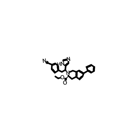 CCOC(=O)[C@@H]1Cc2ccc(-c3ccccc3)cc2CN1C(Cc1ccc(C#N)cc1)c1cnc[nH]1